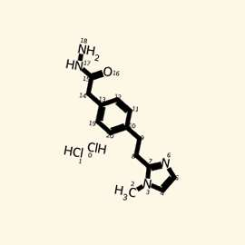 Cl.Cl.Cn1ccnc1CCc1ccc(CC(=O)NN)cc1